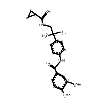 COc1ccc(C(=O)Nc2ccc(C(C)(C)CNC(=O)C3CC3)cc2)cc1OC